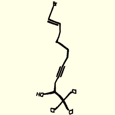 OC(C#CCCC=CBr)C(Cl)(Cl)Cl